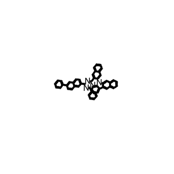 c1ccc(-c2ccc3cc(-c4nc(-c5ccccc5)nc(-c5cc6ccccc6cc5-n5c6ccccc6c6cc7ccccc7cc65)n4)ccc3c2)cc1